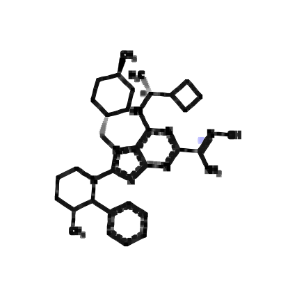 CC1CCCN(c2nc3nc(/C(N)=N/O)nc(N[C@H](C)C4CCC4)c3n2C[C@H]2CC[C@H](C)CC2)C1c1ccccc1